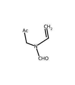 C=CN(C=O)CC(C)=O